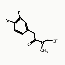 CN(CC(F)(F)F)C(=O)Cc1ccc(Br)c(F)c1